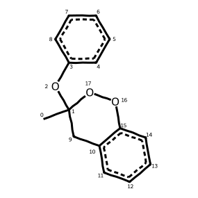 CC1(Oc2ccccc2)Cc2ccccc2OO1